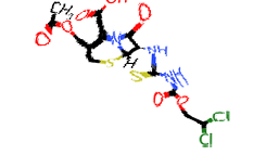 CC(=O)OCC1=C(C(=O)O)N2C(=O)[C@H](NC(=S)NC(=O)OCC(Cl)Cl)[C@@H]2SC1